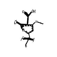 COc1cc(C(F)(F)F)nc(Cl)c1C(=O)O